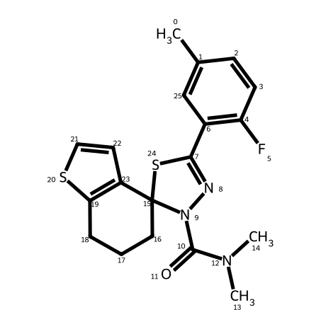 Cc1ccc(F)c(C2=NN(C(=O)N(C)C)C3(CCCc4sccc43)S2)c1